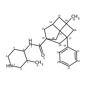 CC1CNCCC1NC(=O)C12CC3CC4(C)CC(c5ccccc5)(C1)C34C2